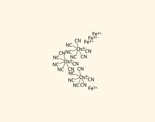 N#[C][Os-4]([C]#N)([C]#N)([C]#N)([C]#N)[C]#N.N#[C][Os-4]([C]#N)([C]#N)([C]#N)([C]#N)[C]#N.N#[C][Os-4]([C]#N)([C]#N)([C]#N)([C]#N)[C]#N.[Fe+3].[Fe+3].[Fe+3].[Fe+3]